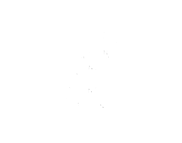 N#Cc1cccc(-c2csc(-c3cscn3)n2)n1